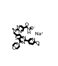 COc1ccc(-c2nc(N3CCOCC3)c3sc(CN(C)c4ncc(C(=O)N[O-])cn4)cc3n2)cn1.[Na+]